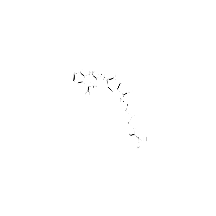 O=C(CCCCCNC(=O)c1ccc(Nc2nc3ccccc3c(=O)[nH]2)cc1)NO